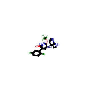 O=c1[nH]c(OC(F)(F)F)c(Nc2ccnc3[nH]ccc23)cc1-c1cc(Cl)ccc1F